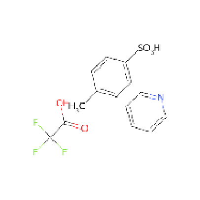 Cc1ccc(S(=O)(=O)O)cc1.O=C(O)C(F)(F)F.c1ccncc1